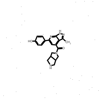 Cc1n[nH]c2nc(-c3ccc(O)cc3)cc(C(=O)N3CC4CNCC4C3)c12